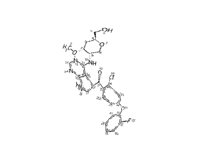 CO[C@@H]1C[C@@H](CO)OC[C@@H]1Nc1ncnc2[nH]cc(C(=O)c3ccc(Oc4ccccc4F)cc3Cl)c12